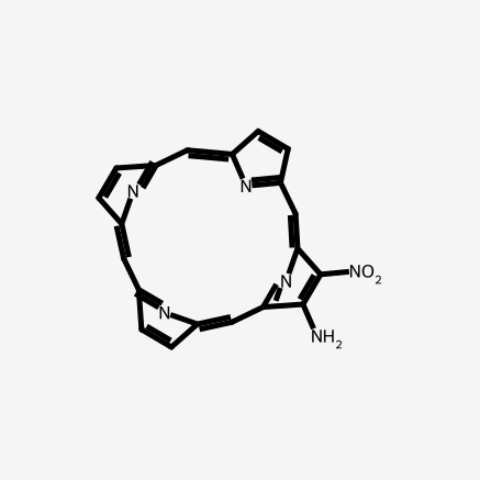 NC1=C([N+](=O)[O-])C2=CC3=NC(=CC4=NC(=CC5=NC(=CC1=N2)C=C5)C=C4)C=C3